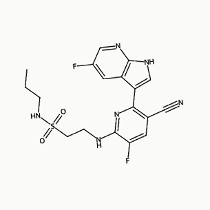 CCCNS(=O)(=O)CCNc1nc(-c2c[nH]c3ncc(F)cc23)c(C#N)cc1F